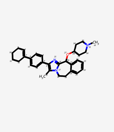 Cc1c(-c2ccc(C3=CCCCC3)cc2)nc2n1CCc1ccccc1C2OC1CCN(C)CC1